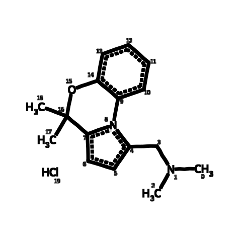 CN(C)Cc1ccc2n1-c1ccccc1OC2(C)C.Cl